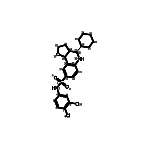 O=S(=O)(Nc1ccc(Cl)c(Cl)c1)c1ccc2c(c1)C1OCCC1[C@H](C1CCCCC1)N2